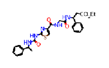 CCOC(=O)CC(NC(=O)CNC(=O)c1csc(NC(=O)NC(C)c2ccccc2)n1)c1ccccc1